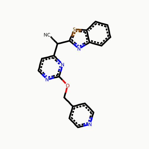 N#CC(c1ccnc(OCc2ccncc2)n1)c1nc2ccccc2s1